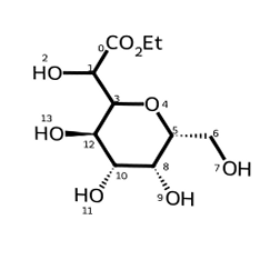 CCOC(=O)C(O)C1O[C@H](CO)[C@H](O)[C@H](O)[C@H]1O